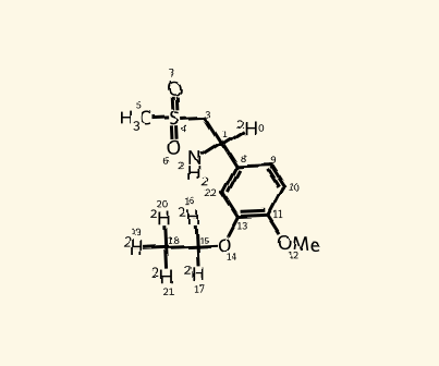 [2H]C(N)(CS(C)(=O)=O)c1ccc(OC)c(OC([2H])([2H])C([2H])([2H])[2H])c1